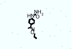 C=CCON=C(C)c1ccc(NC(N)=O)cc1